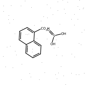 O=C(O)c1cccc2ccccc12.O=S(O)O